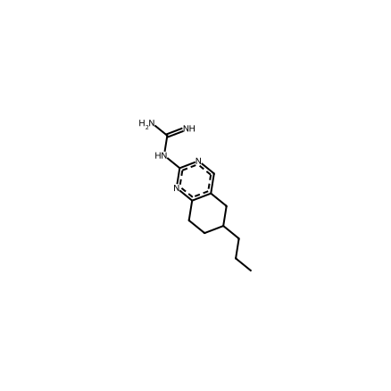 CCCC1CCc2nc(NC(=N)N)ncc2C1